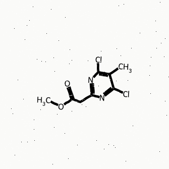 COC(=O)Cc1nc(Cl)c(C)c(Cl)n1